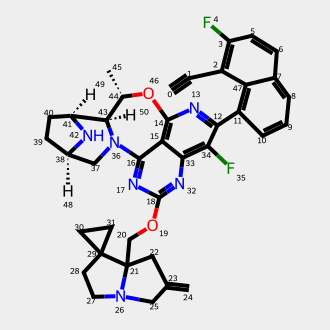 C#Cc1c(F)ccc2cccc(-c3nc4c5c(nc(OCC67CC(=C)CN6CCC76CC6)nc5c3F)N3C[C@H]5CC[C@H](N5)[C@H]3[C@H](C)O4)c12